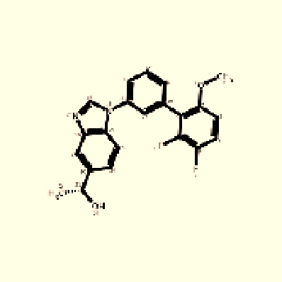 COc1ccc(F)c(F)c1-c1cccc(-n2cnc3cc([C@@H](C)O)ccc32)c1